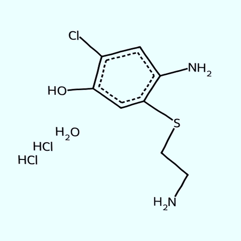 Cl.Cl.NCCSc1cc(O)c(Cl)cc1N.O